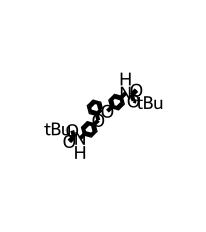 CC(C)(C)OC(=O)Nc1ccc(Oc2ccccc2Oc2ccc(NC(=O)OC(C)(C)C)cc2)cc1